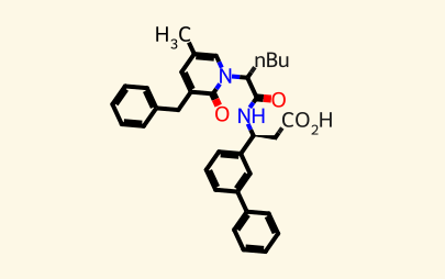 CCCCC(C(=O)N[C@@H](CC(=O)O)c1cccc(-c2ccccc2)c1)n1cc(C)cc(Cc2ccccc2)c1=O